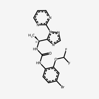 C[C@H](NC(=O)Nc1ccc(Br)cc1OC(F)F)c1ncnn1-c1ncccn1